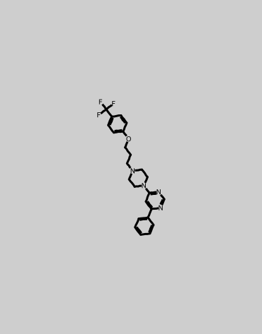 FC(F)(F)c1ccc(OCCCN2CCN(c3cc(-c4ccccc4)ncn3)CC2)cc1